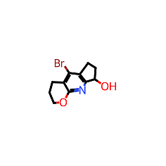 OC1CCc2c1nc1c(c2Br)CCCO1